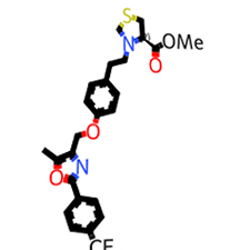 COC(=O)[C@@H]1CSCN1CCc1ccc(OCc2nc(-c3ccc(C(F)(F)F)cc3)oc2C)cc1